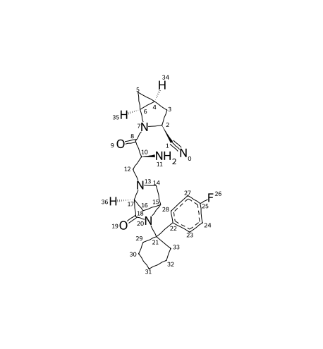 N#C[C@@H]1C[C@@H]2C[C@@H]2N1C(=O)[C@@H](N)CN1CC2C[C@H]1C(=O)N2C1(c2ccc(F)cc2)CCCCC1